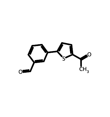 CC(=O)c1ccc(-c2cccc(C=O)c2)s1